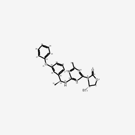 CC[C@H]1COC(=O)N1c1nc(C)nc(N[C@@H](C)c2cccc(Oc3ccccc3)c2)n1